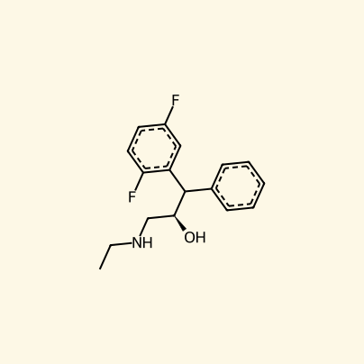 CCNC[C@H](O)C(c1ccccc1)c1cc(F)ccc1F